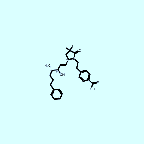 C[C@@H](CCCc1ccccc1)[C@H](O)C=C[C@H]1CC(F)(F)C(=O)N1CCc1ccc(C(=O)O)cc1